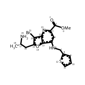 COC(=O)c1cc(NCc2cccs2)c2oc(C[C@H](C)N)c(Br)c2n1